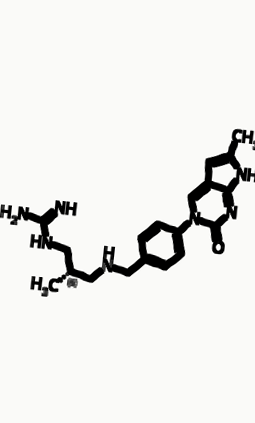 Cc1cc2cn(-c3ccc(CNC[C@H](C)CNC(=N)N)cc3)c(=O)nc2[nH]1